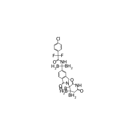 BC(B)(NC(=O)C(F)(F)c1ccc(Cl)cc1)c1ccc2c(c1)CN(C1(B)C(=O)NC(=O)CC1(B)B)C2=O